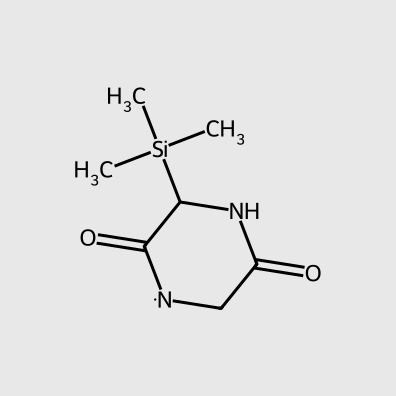 C[Si](C)(C)C1NC(=O)C[N]C1=O